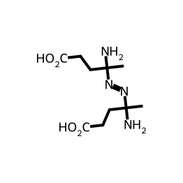 CC(N)(CCC(=O)O)N=NC(C)(N)CCC(=O)O